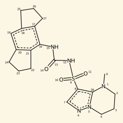 CN1CCCn2ncc(S(=O)(=O)NC(=O)Nc3c4c(cc5c3CCC5)CCC4)c21